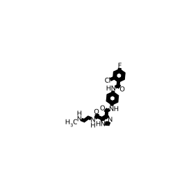 CNCCNC(=O)c1[nH]cnc1C(=O)Nc1ccc(NC(=O)c2ccc(F)cc2Cl)cc1